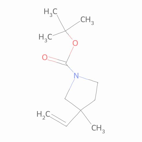 C=CC1(C)CCN(C(=O)OC(C)(C)C)C1